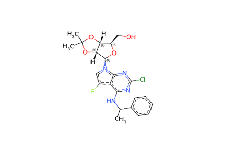 CC(Nc1nc(Cl)nc2c1c(F)cn2[C@@H]1O[C@H](CO)[C@H]2OC(C)(C)O[C@H]21)c1ccccc1